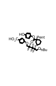 CCCC(C)C1(C(=O)Oc2ccc(O)cc2)CCCCC1.CCCCOCC(F)(F)C(F)(F)C(F)(F)COc1ccc(C(=O)O)cc1